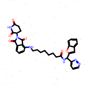 O=C1CCC(N2C(=O)c3cccc(NCCCCCCCC(=O)NC(c4cccnn4)c4cc5ccccc5o4)c3C2=O)C(=O)N1